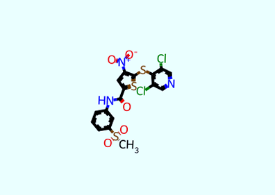 CS(=O)(=O)c1cccc(NC(=O)c2cc([N+](=O)[O-])c(Sc3c(Cl)cncc3Cl)s2)c1